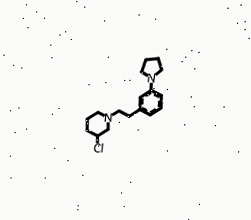 ClC1CCCN(CCc2cccc(N3CCCC3)c2)C1